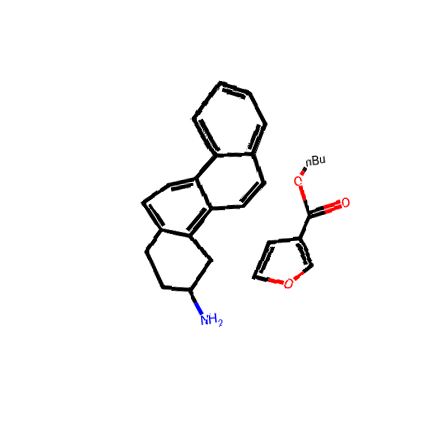 CCCCOC(=O)c1ccoc1.NC1CCc2ccc3c(ccc4ccccc43)c2C1